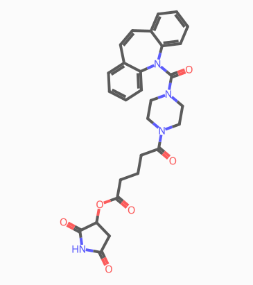 O=C1CC(OC(=O)CCCC(=O)N2CCN(C(=O)N3c4ccccc4C=Cc4ccccc43)CC2)C(=O)N1